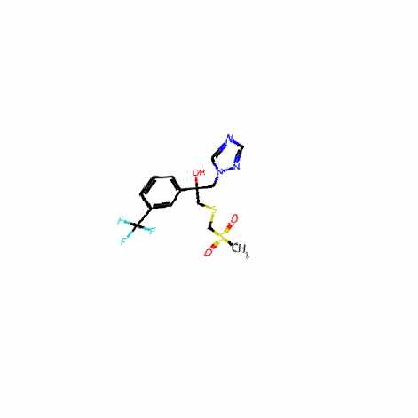 CS(=O)(=O)CSCC(O)(Cn1cncn1)c1cccc(C(F)(F)F)c1